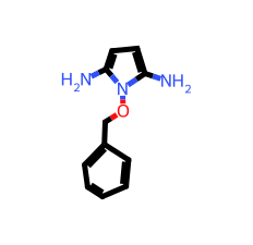 Nc1ccc(N)n1OCc1ccccc1